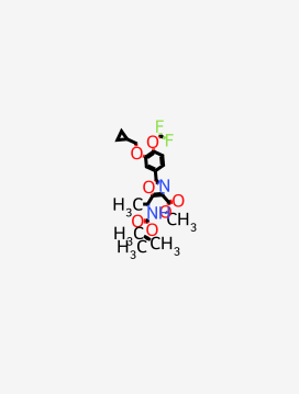 COC(=O)c1nc(-c2ccc(OC(F)F)c(OCC3CC3)c2)oc1C(C)NC(=O)OC(C)(C)C